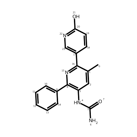 Cc1cc(NC(N)=O)c(-c2ccccc2)nc1-c1ccc(O)nc1